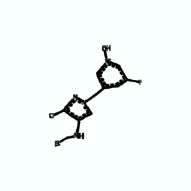 CCNc1cn(-c2cc(F)c[n+](O)c2)nc1Cl